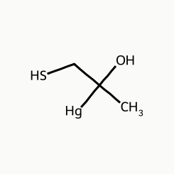 C[C](O)([Hg])CS